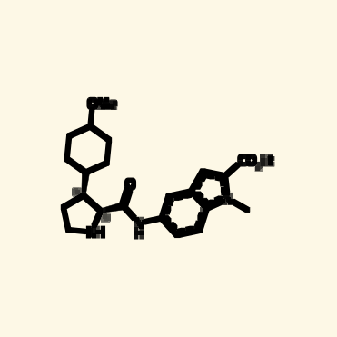 CCOC(=O)c1cc2cc(NC(=O)[C@H]3NCC[C@H]3C3CCC(OC)CC3)ccc2n1C